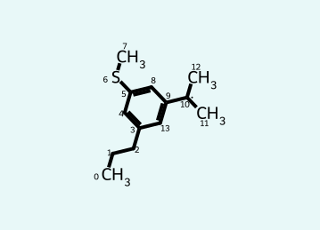 CCCc1cc(SC)cc([C](C)C)c1